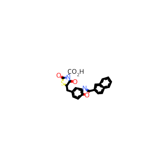 O=C(O)N1C(=O)SC(Cc2ccc3oc(-c4ccc5ccccc5c4)nc3c2)C1=O